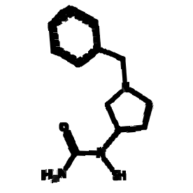 NC(=O)N(S)C1CCN(Cc2ccccc2)C1